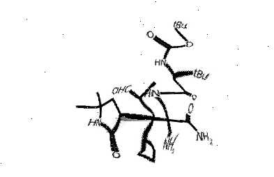 CC(C=O)C(C1CC1)(C1CC(C)(C)NC1=O)C(N)(NC(=O)C(NC(=O)OC(C)(C)C)C(C)(C)C)C(N)=O